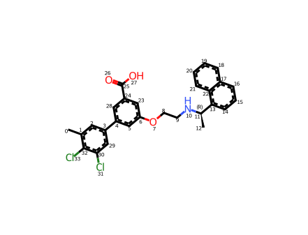 Cc1cc(-c2cc(OCCN[C@H](C)c3cccc4ccccc34)cc(C(=O)O)c2)cc(Cl)c1Cl